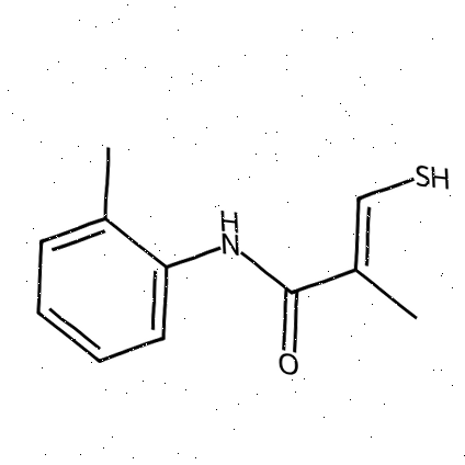 CC(=CS)C(=O)Nc1ccccc1C